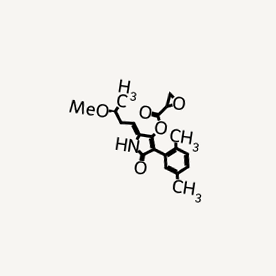 CO[C@@H](C)C/C=C1\NC(=O)C(c2cc(C)ccc2C)=C1OC(=O)C1CO1